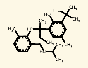 CCC(C)(Pc1c(C)cccc1CNC(C)C)c1cc(C)cc(C(C)(C)C)c1O